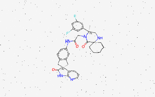 C[C@]1(c2cc(F)cc(F)c2)CNC2(CCCCC2)C(=O)N1CC(=O)Nc1ccc2c(c1)C[C@@]1(C2)C(=O)Nc2ncccc21